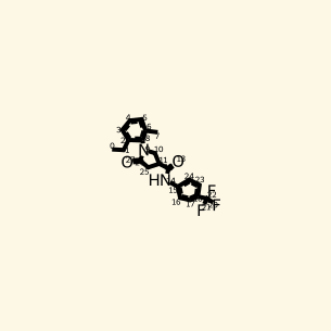 CCc1cccc(C)c1N1CC(C(=O)Nc2ccc(C(F)(F)F)cc2)CC1=O